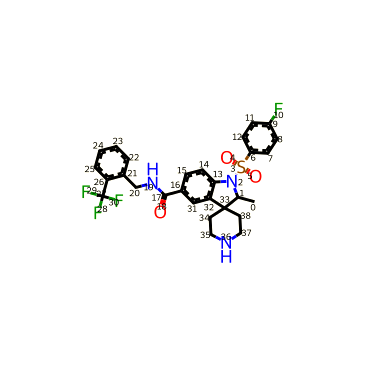 CC1N(S(=O)(=O)c2ccc(F)cc2)c2ccc(C(=O)NCc3ccccc3C(F)(F)F)cc2C12CCNCC2